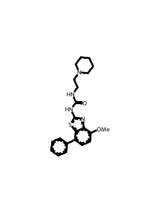 COc1ccc(-c2ccccc2)c2sc(NC(=O)NCCN3CCCCC3)nc12